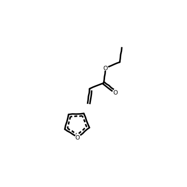 C=CC(=O)OCC.c1ccoc1